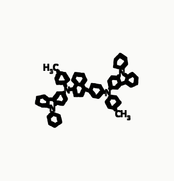 Cc1ccc(N(c2ccc(-c3ccc(N(c4ccc(C)cc4)c4ccc5c(c4)c4ccccc4n5-c4ccccc4)c4ccccc34)cc2)c2ccc3c(c2)c2ccccc2n3C2=CC=CCC2)cc1